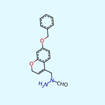 NN(C=O)CC1=CCOc2cc(OCc3ccccc3)ccc21